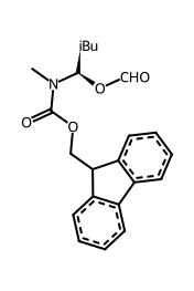 CC[C@H](C)[C@@H](OC=O)N(C)C(=O)OCC1c2ccccc2-c2ccccc21